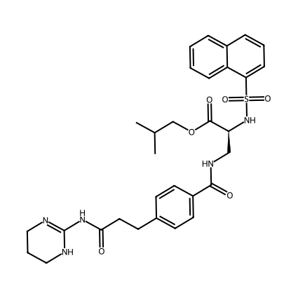 CC(C)COC(=O)[C@H](CNC(=O)c1ccc(CCC(=O)NC2=NCCCN2)cc1)NS(=O)(=O)c1cccc2ccccc12